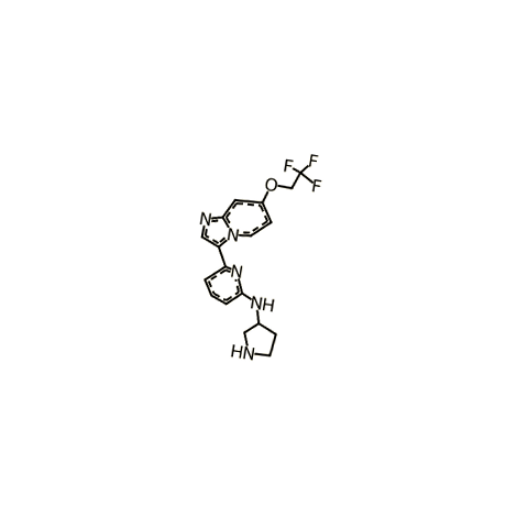 FC(F)(F)COc1ccn2c(-c3cccc(NC4CCNC4)n3)cnc2c1